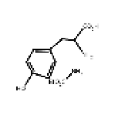 CCOC(N)=O.NC(Cc1ccc(O)cc1)C(=O)O